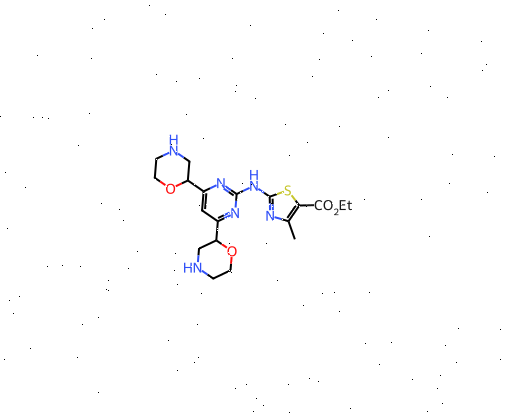 CCOC(=O)c1sc(Nc2nc(C3CNCCO3)cc(C3CNCCO3)n2)nc1C